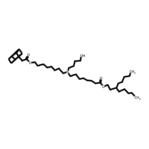 CCCCCC(CCCCC)CCOC(=O)CCCCCCCN(CCCCO)CCCCCCCCOC(=O)CC12C3C4C5C3C1C5C42